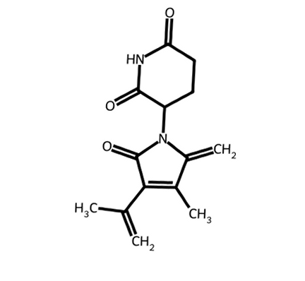 C=C(C)C1=C(C)C(=C)N(C2CCC(=O)NC2=O)C1=O